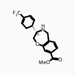 COC(=O)c1ccc2c(c1)OC[C@H](C1C=CC(C(F)(F)F)=CC1)NC2